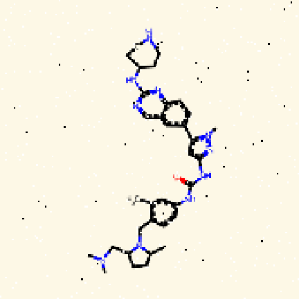 CC1CCC(CN(C)C)N1Cc1ccc(NC(=O)Nc2cc(-c3ccc4nc(NC5CCNCC5)ncc4c3)n(C)n2)cc1C(F)(F)F